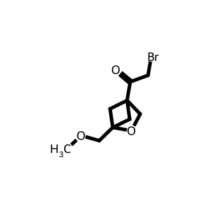 COCC12CC(C(=O)CBr)(CO1)C2